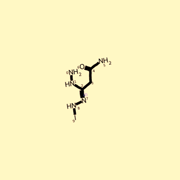 NN/C(CC(N)=O)=N\NI